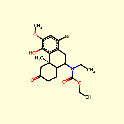 CCOC(=O)N(CC)C1Cc2c(Br)cc(OC)c(O)c2[C@]2(C)CC(=O)CCC12